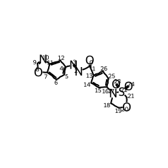 O=C(N=Nc1ccc2ocnc2c1)c1ccc(N2CCOCS2(=O)=O)cc1